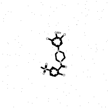 COc1c(Cl)cc(N2CCN(C(=O)c3cc(S(C)(=O)=O)ccc3Cl)CC2)cc1Cl